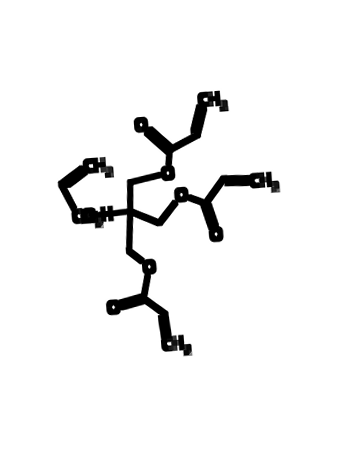 C=CC(=O)O.C=CC(=O)OCC(CC)(COC(=O)C=C)COC(=O)C=C